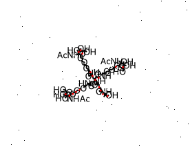 CC(=O)NC1C(OCCOCCOCCNC(=O)CCC(CCC(=O)NCCOCCOCCOC2OC(CO)C(O)C(O)C2NC(C)=O)(CCC(=O)NCCOCCOCCOC2OC(CO)C(O)C(O)C2NC(C)=O)NC(=O)CCCC(=O)NCC(C)(C)CO)OC(CO)C(O)C1O